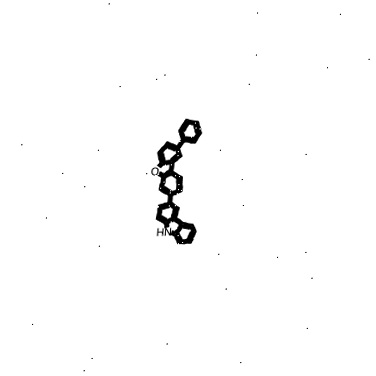 c1ccc(-c2ccc3oc4cc(-c5ccc6[nH]c7ccccc7c6c5)ccc4c3c2)cc1